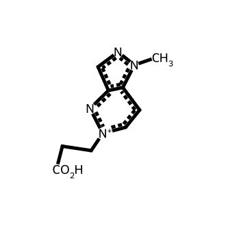 Cn1ncc2n[n+](CCC(=O)O)ccc21